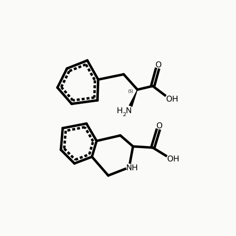 N[C@@H](Cc1ccccc1)C(=O)O.O=C(O)C1Cc2ccccc2CN1